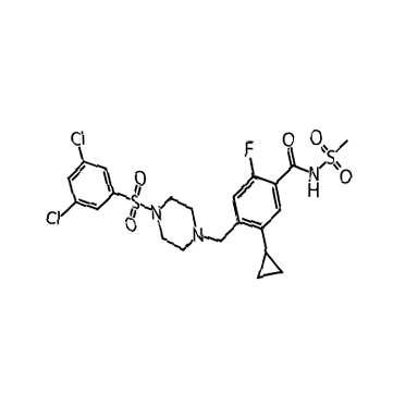 CS(=O)(=O)NC(=O)c1cc(C2CC2)c(CN2CCN(S(=O)(=O)c3cc(Cl)cc(Cl)c3)CC2)cc1F